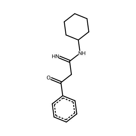 N=C(CC(=O)c1ccccc1)NC1CCCCC1